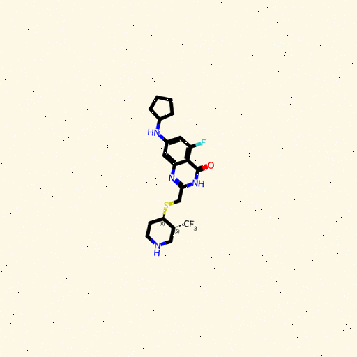 O=c1[nH]c(CS[C@@H]2CCNC[C@H]2C(F)(F)F)nc2cc(NC3CCCC3)cc(F)c12